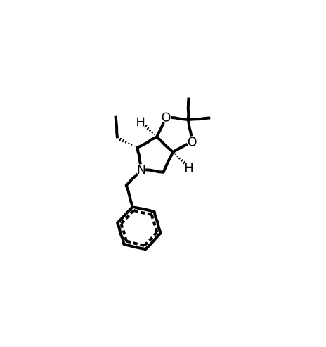 CC[C@@H]1[C@H]2OC(C)(C)O[C@H]2CN1Cc1ccccc1